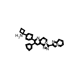 NC1(c2ccc(-c3nc4ccn5c(-c6cn7ccccc7n6)nnc5c4cc3-c3ccccc3)cc2)CCC1